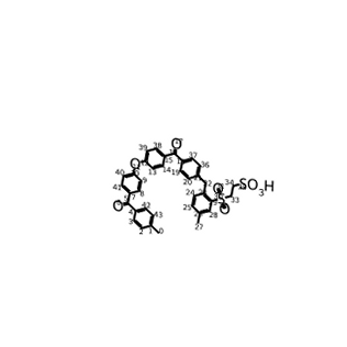 Cc1ccc(C(=O)c2ccc(Oc3ccc(C(=O)c4ccc(Cc5ccc(C)cc5S(=O)(=O)CCS(=O)(=O)O)cc4)cc3)cc2)cc1